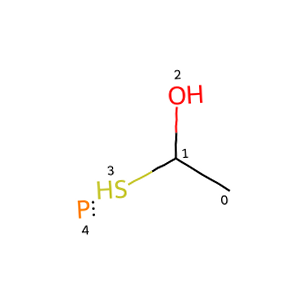 CC(O)S.[P]